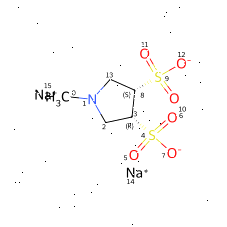 CN1C[C@@H](S(=O)(=O)[O-])[C@@H](S(=O)(=O)[O-])C1.[Na+].[Na+]